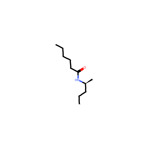 [CH2]CC[C@H]([CH2])NC(=O)CCCCC